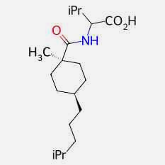 CC(C)CCC[C@H]1CC[C@@](C)(C(=O)NC(C(=O)O)C(C)C)CC1